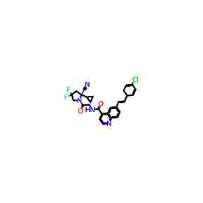 N#C[C@]1(C2CC2)CC(F)(F)CN1C(=O)CNC(=O)c1ccnc2ccc(/C=C/C3C=CC(Cl)=CC3)cc12